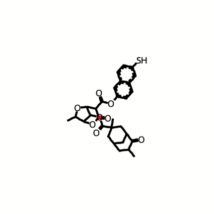 CC1CC2CC(CC(C)(C(=O)OC3C4OC(=O)C(C(=O)Oc5ccc6cc(S)ccc6c5)C3OC4C)C2)C1=O